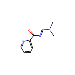 CN(C)/C=N/C(=O)c1ccccn1